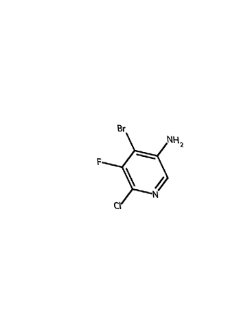 Nc1cnc(Cl)c(F)c1Br